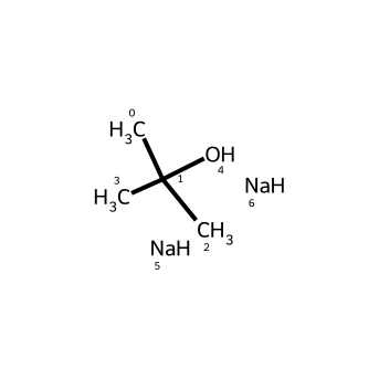 CC(C)(C)O.[NaH].[NaH]